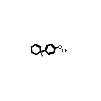 C[C@]1(c2ccc(OC(F)(F)F)cc2)C=CCCC1